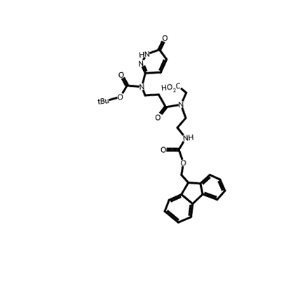 CC(C)(C)OC(=O)N(CCC(=O)N(CCNC(=O)OCC1c2ccccc2-c2ccccc21)CC(=O)O)c1ccc(=O)[nH]n1